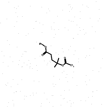 CC(C)OC(=O)CCC(C)(C)OC(=O)C(F)(F)F